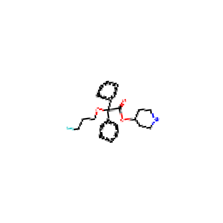 O=C(OC1CCNCC1)C(OCCCF)(c1ccccc1)c1ccccc1